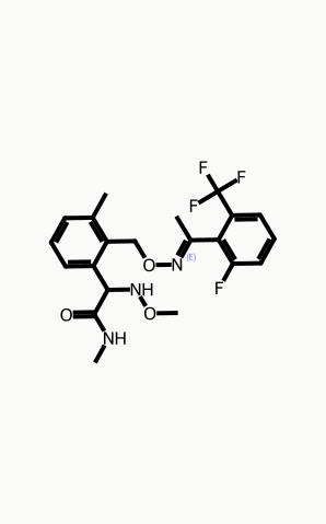 CNC(=O)C(NOC)c1cccc(C)c1CO/N=C(\C)c1c(F)cccc1C(F)(F)F